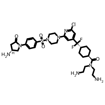 NCCN(CCN)C(=O)[C@H]1CC[C@H](C(F)(F)c2cc(Cl)nc(N3CCN(S(=O)(=O)c4ccc(N5C[C@H](N)CC5=O)cc4)CC3)c2)CC1